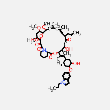 C=CCC1/C=C(\C)CC(C)CC(OC)C2OC(O)(C(=O)C(=O)N3CCCCC3C(=O)OC(C(C)=CC3CCC(Oc4ccc5c(ccn5CCC)c4)C(O)C3)C(C)C(O)CC1=O)C(C)CC2OC